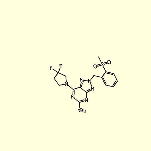 CC(C)(C)c1nc(N2CCC(F)(F)C2)c2nn(Cc3ccccc3S(C)(=O)=O)nc2n1